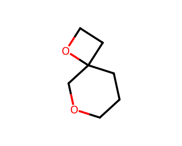 C1COCC2(C1)CCO2